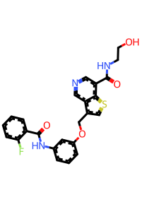 O=C(Nc1cccc(OCc2csc3c(C(=O)NCCO)cncc23)c1)c1ccccc1F